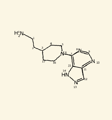 NCCC1CCN(c2ncnc3cn[nH]c23)CC1